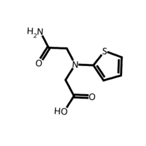 NC(=O)CN(CC(=O)O)c1cccs1